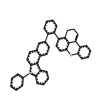 C1=C2c3ccccc3Oc3ccc(-c4ccccc4-c4ccc5c(ccc6c5c5ccccc5n6-c5ccccc5)c4)c(c32)CC1